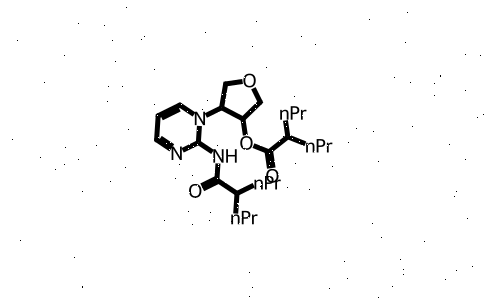 CCCC(CCC)C(=O)NC1N=CC=CN1C1COCC1OC(=O)C(CCC)CCC